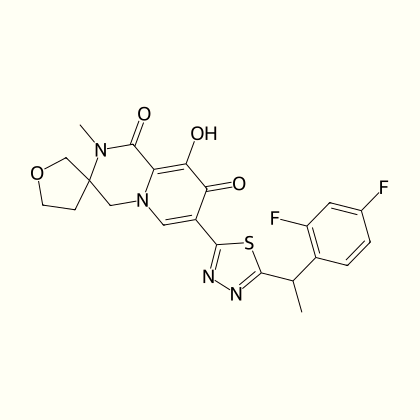 CC(c1nnc(-c2cn3c(c(O)c2=O)C(=O)N(C)C2(CCOC2)C3)s1)c1ccc(F)cc1F